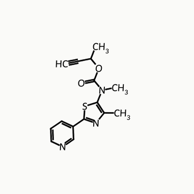 C#CC(C)OC(=O)N(C)c1sc(-c2cccnc2)nc1C